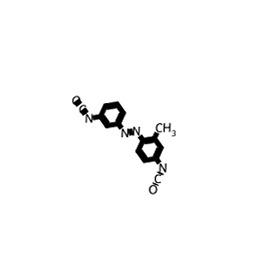 Cc1cc(N=C=O)ccc1N=Nc1cccc(N=C=O)c1